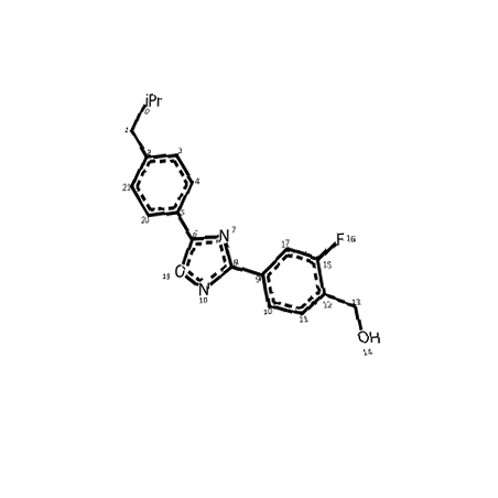 CC(C)Cc1ccc(-c2nc(-c3ccc(CO)c(F)c3)no2)cc1